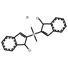 C[Si](C)(C1=Cc2ccccc2C1Cl)C1=Cc2ccccc2C1Cl.[Zr]